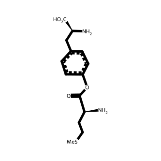 CSCC[C@H](N)C(=O)Oc1ccc(C[C@H](N)C(=O)O)cc1